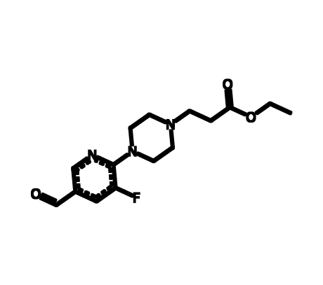 CCOC(=O)CCN1CCN(c2ncc(C=O)cc2F)CC1